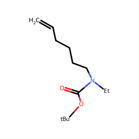 C=CCCCCN(CC)C(=O)OC(C)(C)C